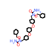 NC(=O)N(Cc1ccc(Oc2cccc(Oc3ccc(CN(OCc4ccccc4)C(N)=O)cc3)c2)cc1)OCc1ccccc1